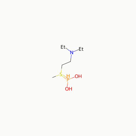 CCN(CC)CCS(C)=[PH](O)O